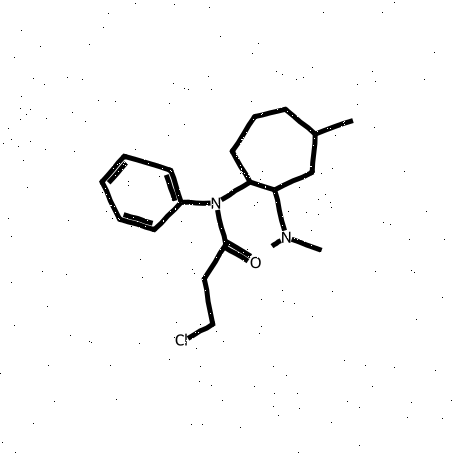 CC1CCCC(N(C(=O)CCCl)c2ccccc2)C(N(C)C)C1